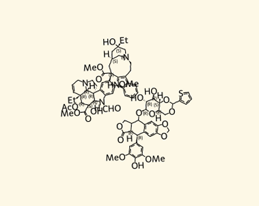 CC[C@]1(O)C[C@H]2C[N@](CCc3c([nH]c4ccccc34)[C@@](C(=O)OC)(c3cc4c(cc3OC)N(C=O)[C@H]3[C@@](O)(C(=O)OC)[C@H](OC(C)=O)[C@]5(CC)C=CCN6CC[C@]43[C@@H]65)C2)C1.COc1cc([C@@H]2c3cc4c(cc3C(O[C@@H]3O[C@@H]5COC(c6cccs6)O[C@H]5[C@H](O)[C@H]3O)C3COC(=O)[C@@H]32)OCO4)cc(OC)c1O